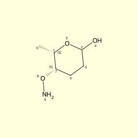 C[C@@H]1OC(O)CC[C@@H]1ON